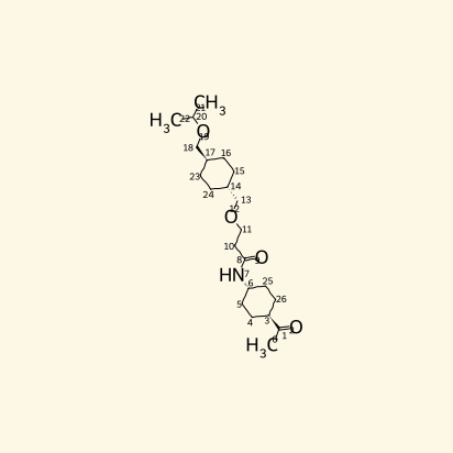 CC(=O)[C@H]1CC[C@H](NC(=O)CCOC[C@H]2CC[C@H](COC(C)C)CC2)CC1